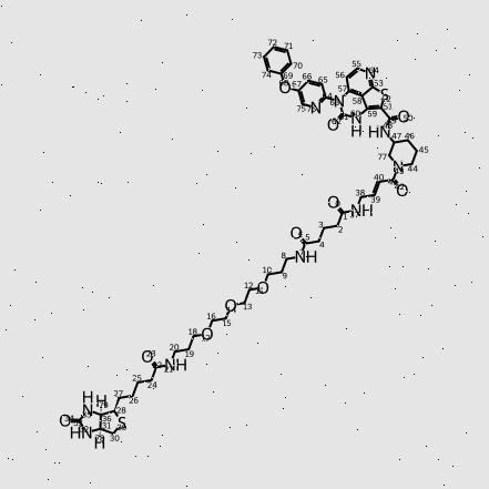 O=C(CCCC(=O)NCCCOCCOCCOCCCNC(=O)CCCC[C@H]1SC[C@H]2NC(=O)N[C@H]21)NC/C=C/C(=O)N1CCCC(NC(=O)c2sc3nccc4c3c2NC(=O)N4c2ccc(Oc3ccccc3)cn2)C1